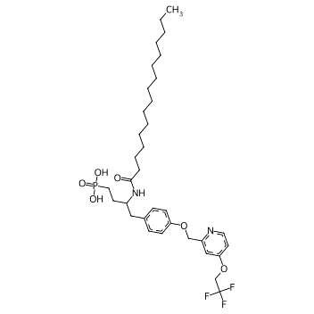 CCCCCCCCCCCCCCCC(=O)NC(CCP(=O)(O)O)Cc1ccc(OCc2cc(OCC(F)(F)F)ccn2)cc1